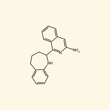 Nc1cc2ccccc2c(C2CCCc3ccccc3N2)n1